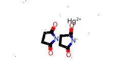 O=C1CCC(=O)[N-]1.O=C1CCC(=O)[N-]1.[Hg+2]